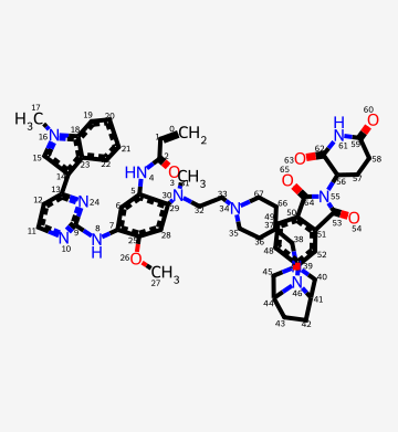 C=CC(=O)Nc1cc(Nc2nccc(-c3cn(C)c4ccccc34)n2)c(OC)cc1N(C)CCN1CCC(CN2CC3CCC(C2)N3c2ccc3c(c2)C(=O)N(C2CCC(=O)NC2=O)C3=O)CC1